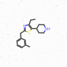 CCc1nc(Cc2cccc(C)c2)sc1C1CCNCC1